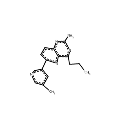 CCCc1nc(N)nc2ccc(-c3cncc(C)c3)nc12